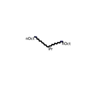 CCCCCCCC/C=C\CCCCCCCCCC(CCCCCCCC/C=C\CCCCCCCC)C(C)C